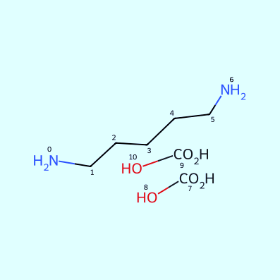 NCCCCCN.O=C(O)O.O=C(O)O